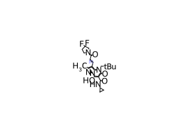 Cc1nn2c(O)c(C(=O)NC3CC3)c(=O)n(CC(C)(C)C)c2c1/C=C/C(=O)N1CCC(F)(F)C1